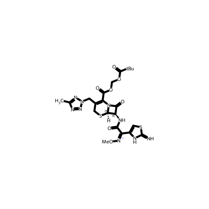 CO/N=C(\C(=O)N[C@@H]1C(=O)N2C(C(=O)OCOC(=O)C(C)(C)C)=C(Cn3nnc(C)n3)CS[C@H]12)c1csc(=N)[nH]1